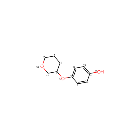 Oc1ccc(OC2CCCOC2)cc1